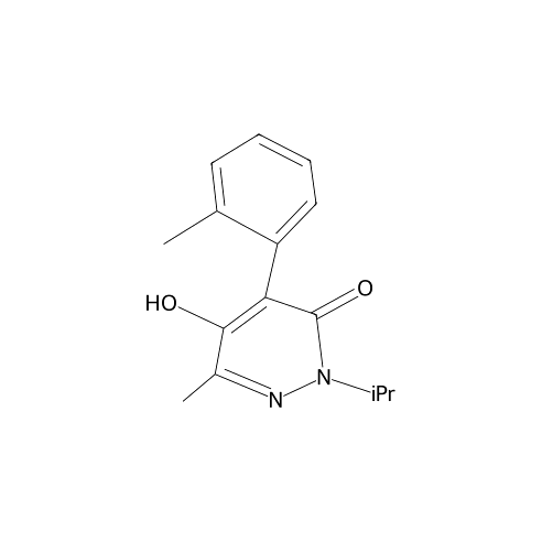 Cc1ccccc1-c1c(O)c(C)nn(C(C)C)c1=O